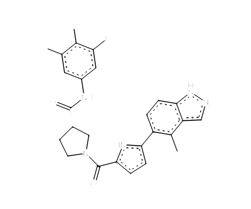 Cc1c(-c2ccc(C(=O)N3CC[C@H](C(=O)Nc4cc(F)c(F)c(F)c4)C3)[nH]2)ccc2[nH]ncc12